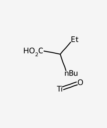 CCCCC(CC)C(=O)O.[O]=[Ti]